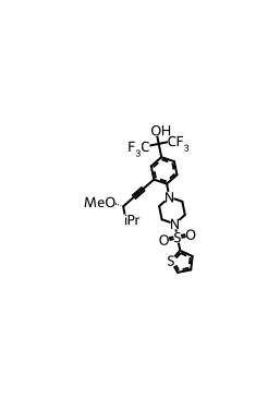 CO[C@H](C#Cc1cc(C(O)(C(F)(F)F)C(F)(F)F)ccc1N1CCN(S(=O)(=O)c2cccs2)CC1)C(C)C